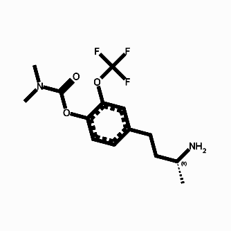 C[C@@H](N)CCc1ccc(OC(=O)N(C)C)c(OC(F)(F)F)c1